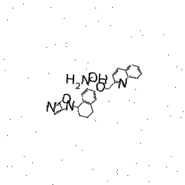 C1=c2c(on2C2CCCc3cc(OCc4ccc5ccccc5n4)ccc32)=N1.NO